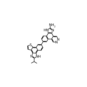 CC(C)c1nc2c3ccsc3c3cc(-c4ccc5c(c4)c4cnncc4c4nc(N)[nH]c54)ccc3c2[nH]1